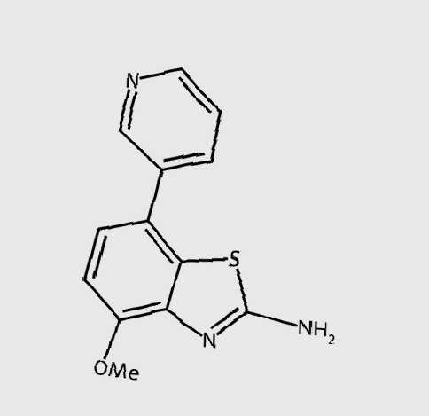 COc1ccc(-c2cccnc2)c2sc(N)nc12